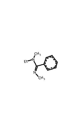 CCN(C)/C(=N/C)c1ccccc1